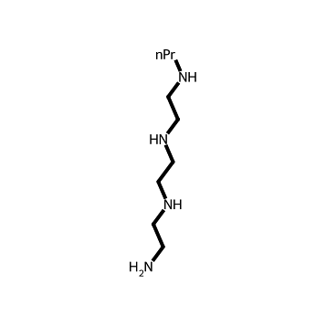 CCCNCCNCCNCCN